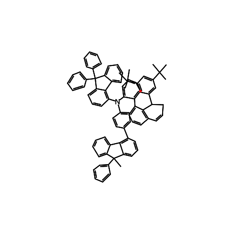 CC(C)(C)c1cc(C2CC=Cc3cccc(-c4ccccc4N(c4ccc(-c5cccc6c5-c5ccccc5C6(C)c5ccccc5)cc4)c4cccc5c4-c4ccccc4C5(c4ccccc4)c4ccccc4)c32)cc(C(C)(C)C)c1